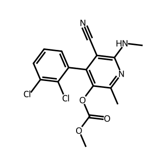 CNc1nc(C)c(OC(=O)OC)c(-c2cccc(Cl)c2Cl)c1C#N